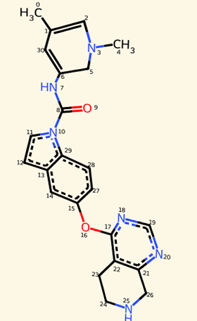 CC1=CN(C)CC(NC(=O)n2ccc3cc(Oc4ncnc5c4CCNC5)ccc32)=C1